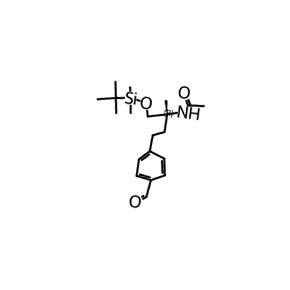 CC(=O)N[C@](C)(CCc1ccc(C=O)cc1)CO[Si](C)(C)C(C)(C)C